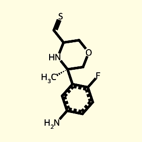 C[C@@]1(c2cc(N)ccc2F)COCC(C=S)N1